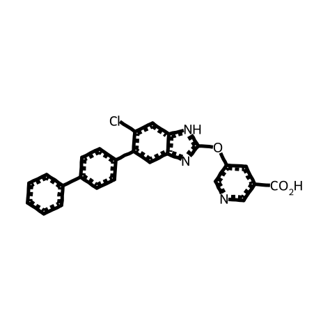 O=C(O)c1cncc(Oc2nc3cc(-c4ccc(-c5ccccc5)cc4)c(Cl)cc3[nH]2)c1